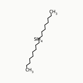 CCCCCCCCCCCCCCCCCC.[SiH4]